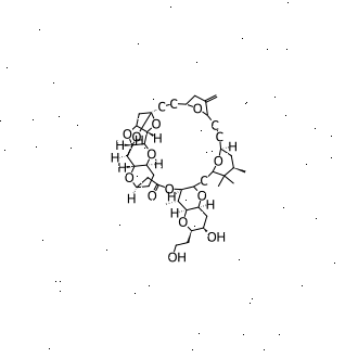 C=C1CC2CC[C@@]34CC5O[C@H]6[C@@H](O3)[C@H]3O[C@H](CC[C@@H]3O[C@H]6[C@H]5O4)CC(=O)O[C@H]3C(CC4O[C@@H](CCC1O2)C[C@@H](C)C4(C)C)O[C@H]1C[C@@H](O)[C@@H](CCO)O[C@H]1[C@@H]3C